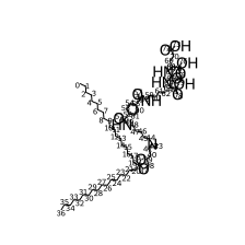 CCCCCCCCCCCCCCCCCCCC1(CCCCCCCCCCCCCCCCC)OCC(CCN(C)CCCCCNC(=O)c2ccc(C(=O)NCCCC[C@H](NC(=O)N[C@@H](CCC(=O)O)C(=O)O)C(=O)O)cc2)O1